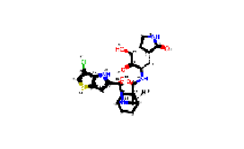 O=C1NCC[C@H]1C[C@@H](NC(=O)[C@H]1C2CCC(CC2)N1C(=O)c1cc2scc(Cl)c2[nH]1)C(=O)CO